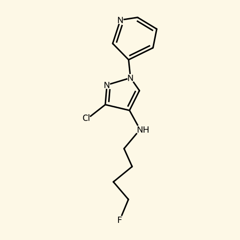 FCCCCNc1cn(-c2cccnc2)nc1Cl